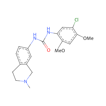 COc1cc(OC)c(NC(=O)Nc2ccc3c(c2)CN(C)CC3)cc1Cl